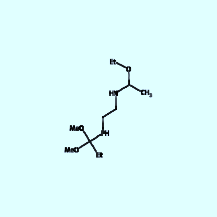 CCOC(C)NCCPC(CC)(OC)OC